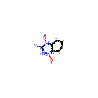 [N]c1n[n+]([O-])c2ccccc2[n+]1[O-]